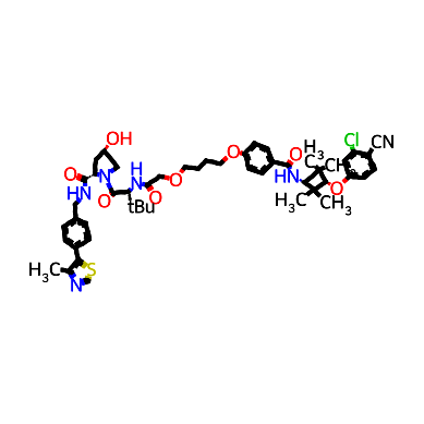 Cc1ncsc1-c1ccc(CNC(=O)[C@@H]2C[C@@H](O)CN2C(=O)[C@@H](NC(=O)COCCCCOc2ccc(C(=O)N[C@H]3C(C)(C)[C@H](Oc4ccc(C#N)c(Cl)c4)C3(C)C)cc2)C(C)(C)C)cc1